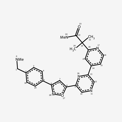 CNCc1ccc(-c2cc(-c3cncc(-c4ccnc(C(C)(C)C(=O)NC)c4)n3)on2)cc1